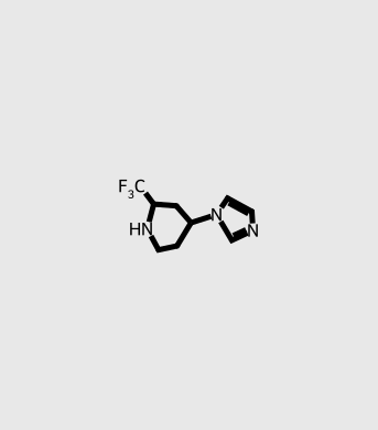 FC(F)(F)C1CC(n2ccnc2)CCN1